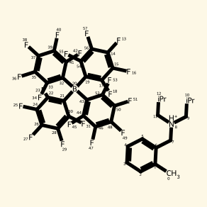 Cc1ccccc1C[NH+](CC(C)C)CC(C)C.Fc1c(F)c(F)c([B-](c2c(F)c(F)c(F)c(F)c2F)(c2c(F)c(F)c(F)c(F)c2F)c2c(F)c(F)c(F)c(F)c2F)c(F)c1F